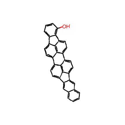 Oc1cccc2c1-c1ccc3c4ccc5c6c(ccc(c7ccc-2c1c73)c64)-c1cc2ccccc2cc1-5